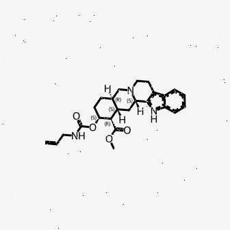 C=CCNC(=O)O[C@H]1CC[C@H]2CN3CCc4c([nH]c5ccccc45)[C@@H]3C[C@@H]2[C@H]1C(=O)OC